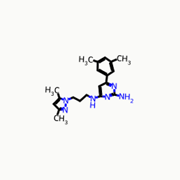 Cc1cc(C)cc(-c2cc(NCCCn3nc(C)cc3C)nc(N)n2)c1